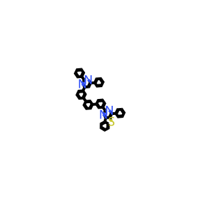 c1ccc(-c2cc(-c3cccc(-c4cccc(-c5cccc(-c6nc(-c7ccccc7)c7sc8ccccc8c7n6)c5)c4)c3)nc(-c3ccccc3)n2)cc1